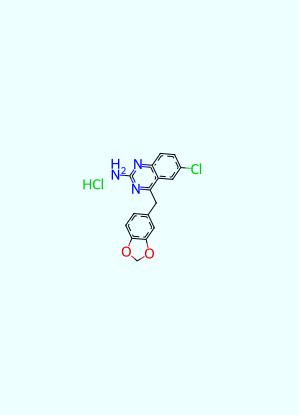 Cl.Nc1nc(Cc2ccc3c(c2)OCO3)c2cc(Cl)ccc2n1